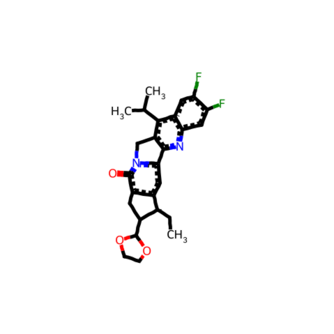 CC[C]1c2cc3n(c(=O)c2CC1C1OCCO1)Cc1c-3nc2cc(F)c(F)cc2c1C(C)C